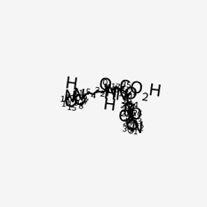 O=C(CCCCc1ccc2c(n1)NCCC2)NCC(NC(=O)C1CN(S(=O)(=O)c2cccnc2)C1)C(=O)O